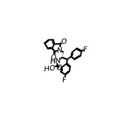 O=C(O)N[C@H](CN1C(=O)c2ccccc2C1=O)C(c1ccc(F)cc1)c1ccc(F)cc1